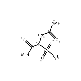 CNC(=O)NN(C(=O)NC)S(C)(=O)=O